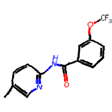 Cc1ccc(NC(=O)c2cccc(OC(F)(F)F)c2)nc1